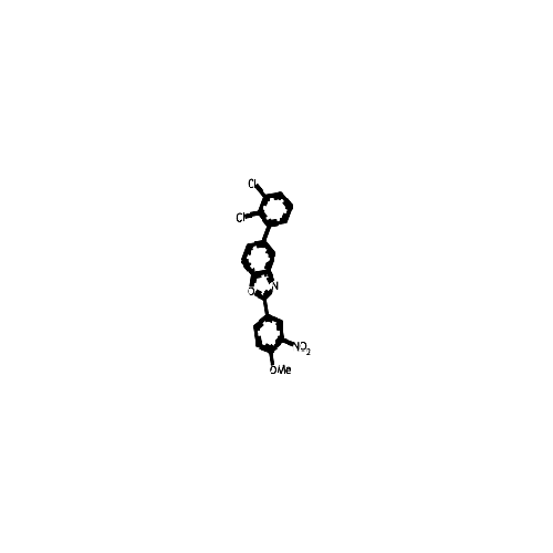 COc1ccc(-c2nc3cc(-c4cccc(Cl)c4Cl)ccc3o2)cc1[N+](=O)[O-]